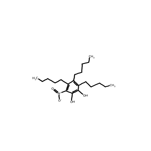 CCCCCc1c(O)c(O)c([N+](=O)[O-])c(CCCCC)c1CCCCC